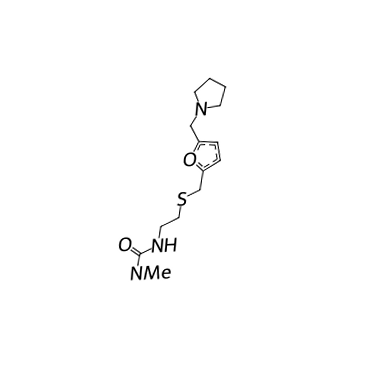 CNC(=O)NCCSCc1ccc(CN2CCCC2)o1